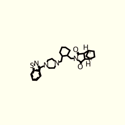 O=C1C2C(C(=O)N1CC1CCCCC1CN1CCN(c3nsc4ccccc34)CC1)[C@H]1CC[C@@H]2C1